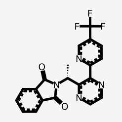 C[C@H](c1nccnc1-c1ccc(C(F)(F)F)cn1)N1C(=O)c2ccccc2C1=O